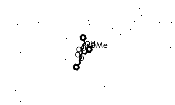 COc1ccc(CC(C(=O)OCCc2ccccc2)C(=O)OCCc2ccccc2)cc1O